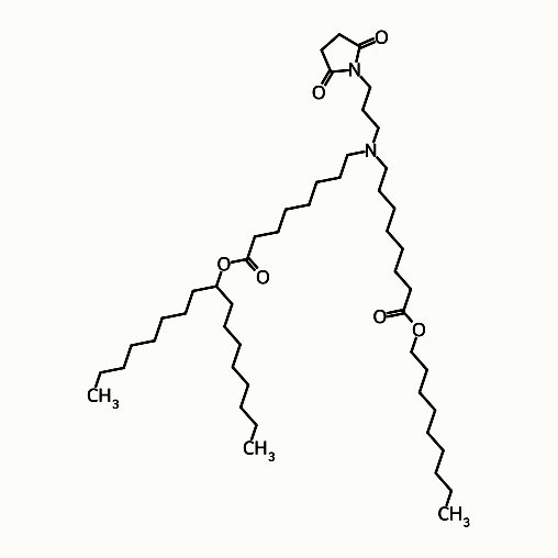 CCCCCCCCCOC(=O)CCCCCCCN(CCCCCCCC(=O)OC(CCCCCCCC)CCCCCCCC)CCCN1C(=O)CCC1=O